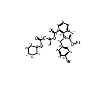 CCOc1nc2cccc(C(=O)OC(C)OC(=O)OC3CCCCC3)c2n1Cc1ccc(Br)cc1